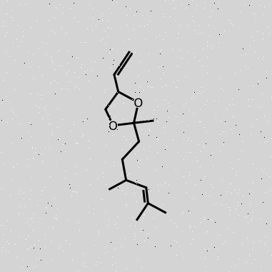 C=CC1COC(C)(CCC(C)C=C(C)C)O1